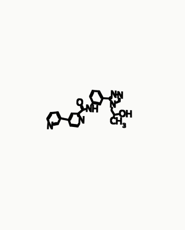 C[C@H](O)Cn1cnnc1-c1cccc(NC(=O)c2cc(-c3cccnc3)ccn2)c1